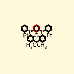 CCc1ccccc1[P@](c1ccccc1)c1cccc2c1Oc1c([P@@](c3ccccc3)c3ccccc3CC)cccc1C2(C)C